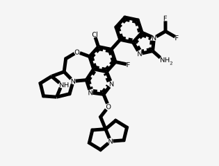 Nc1nc2c(-c3c(Cl)c4c5c(nc(OCC67CCCN6CCC7)nc5c3F)N3CC5CCC(N5)C3CO4)cccc2n1C(F)F